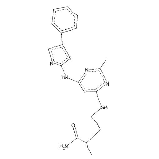 Cc1nc(NCCC(C)C(N)=O)cc(Nc2ncc(-c3ccccc3)s2)n1